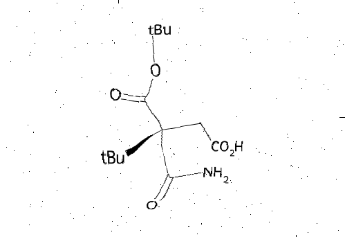 CC(C)(C)OC(=O)[C@](CC(=O)O)(C(N)=O)C(C)(C)C